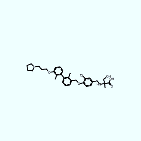 Cc1c(COc2ccc(CNC(C)(CO)C(=O)O)cc2Cl)cccc1-c1cccc(OCCCN2CCCC2)c1C